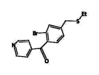 CCSCc1ccc(C(=O)c2ccncc2)c(Br)c1